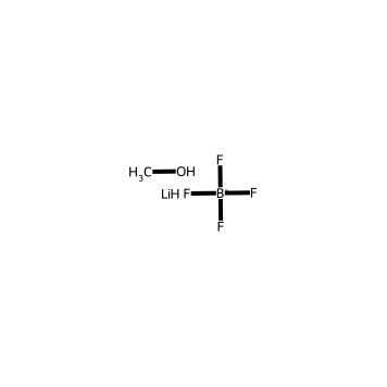 CO.F[B-](F)(F)F.[LiH]